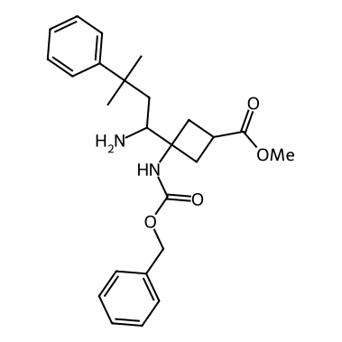 COC(=O)C1CC(NC(=O)OCc2ccccc2)(C(N)CC(C)(C)c2ccccc2)C1